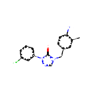 Cc1cc(Cn2cnn(-c3cccc(Cl)c3)c2=O)ccc1N